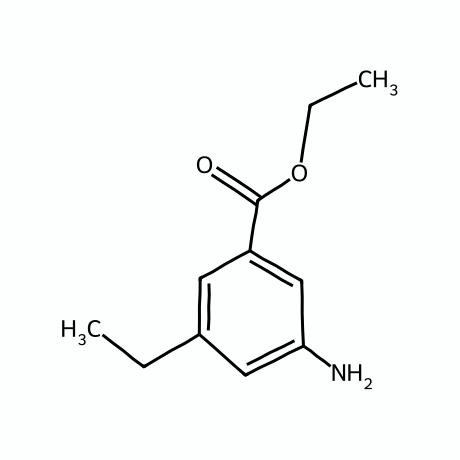 CCOC(=O)c1cc(N)cc(CC)c1